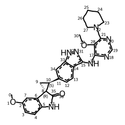 COc1ccc2c(c1)[C@]1(C[C@H]1c1ccc3c(Nc4ncnc(N5CCCCC5)c4OC)n[nH]c3c1)C(=O)N2